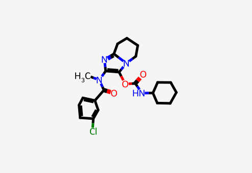 CN(C(=O)c1cccc(Cl)c1)c1nc2n(c1OC(=O)NC1CCCCC1)CCCC2